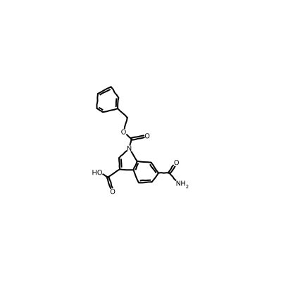 NC(=O)c1ccc2c(C(=O)O)cn(C(=O)OCc3ccccc3)c2c1